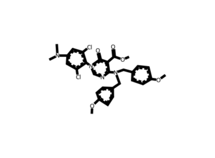 COC(=O)c1c(N(Cc2ccc(OC)cc2)Cc2ccc(OC)cc2)ncn(-c2c(Cl)cc(N(C)C)cc2Cl)c1=O